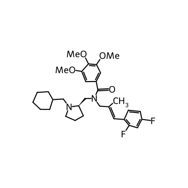 COc1cc(C(=O)N(C/C(C)=C/c2ccc(F)cc2F)C[C@H]2CCCN2CC2CCCCC2)cc(OC)c1OC